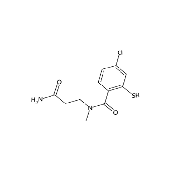 CN(CCC(N)=O)C(=O)c1ccc(Cl)cc1S